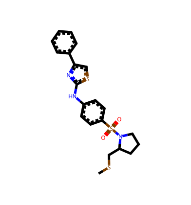 CSCC1CCCN1S(=O)(=O)c1ccc(Nc2nc(-c3ccccc3)cs2)cc1